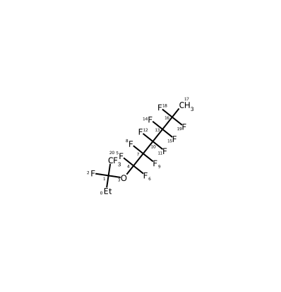 CCC(F)(OC(F)(F)C(F)(F)C(F)(F)C(F)(F)C(C)(F)F)C(F)(F)F